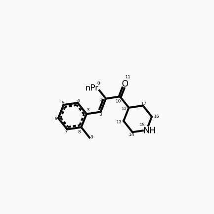 CCC/C(=C\c1ccccc1C)C(=O)C1CCNCC1